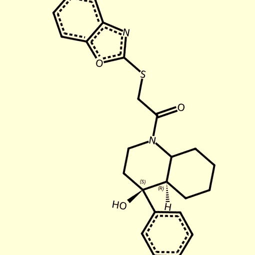 O=C(CSc1nc2ccccc2o1)N1CC[C@@](O)(c2ccccc2)[C@@H]2CCCCC21